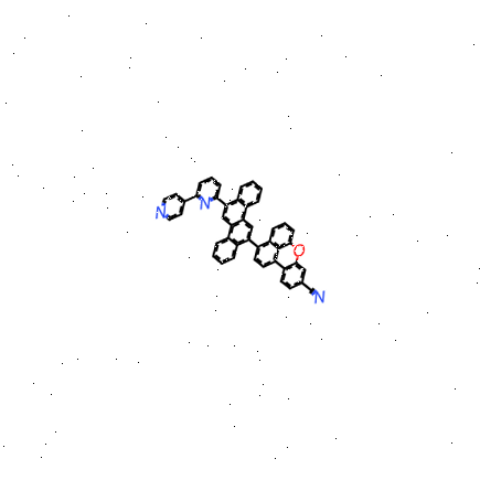 N#Cc1ccc2c(c1)Oc1cccc3c(-c4cc5c6ccccc6c(-c6cccc(-c7ccncc7)n6)cc5c5ccccc45)ccc-2c13